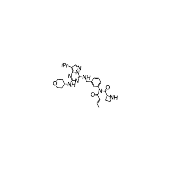 CC=CC(=O)N(C(=O)C1CCN1)c1cccc(CNc2nc(NC3CCOCC3)nc3c(C(C)C)cnn23)c1